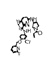 C=CC(=O)N1CC[C@H](Nc2ccc3ncnc(Nc4ccc(OCc5cccc(F)n5)c(Cl)c4)c3n2)C1